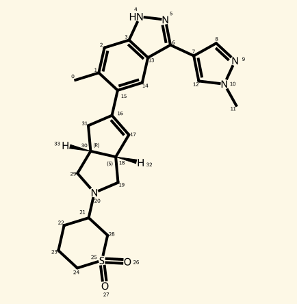 Cc1cc2[nH]nc(-c3cnn(C)c3)c2cc1C1=C[C@@H]2CN(C3CCCS(=O)(=O)C3)C[C@@H]2C1